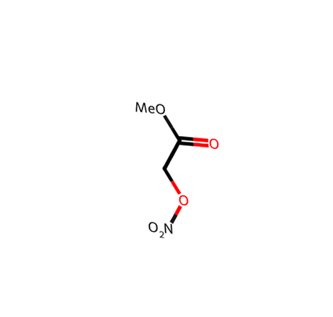 COC(=O)CO[N+](=O)[O-]